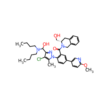 CCCCN(CCCC)C(O)c1nn(-c2ccc(-c3ccc(OC)nc3)cc2C(=O)N2Cc3ccccc3C[C@H]2CO)c(C)c1Cl